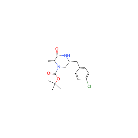 C[C@H]1C(=O)NC(Cc2ccc(Cl)cc2)CN1C(=O)OC(C)(C)C